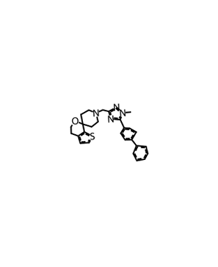 Cn1nc(CN2CCC3(CC2)OCCc2ccsc23)nc1-c1ccc(-c2ccccc2)cc1